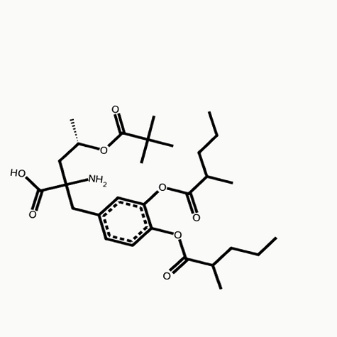 CCCC(C)C(=O)Oc1ccc(CC(N)(C[C@H](C)OC(=O)C(C)(C)C)C(=O)O)cc1OC(=O)C(C)CCC